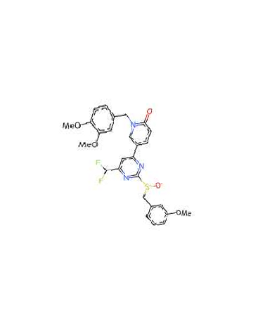 COc1cccc(C[S+]([O-])c2nc(-c3ccc(=O)n(Cc4ccc(OC)c(OC)c4)c3)cc(C(F)F)n2)c1